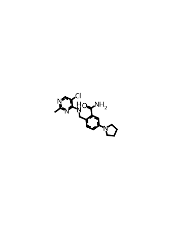 Cc1ncc(Cl)c(NCc2ccc(N3CCCC3)cc2C(N)=O)n1